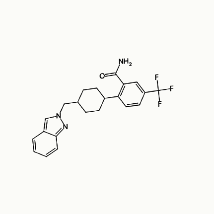 NC(=O)c1cc(C(F)(F)F)ccc1C1CCC(Cn2cc3ccccc3n2)CC1